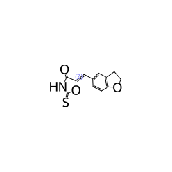 O=C1NC(=S)O/C1=C\c1ccc2c(c1)CCO2